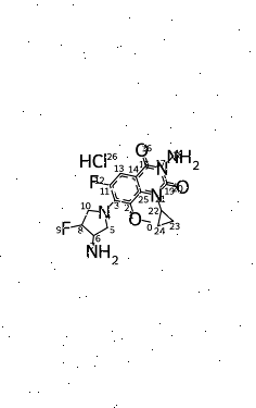 COc1c(N2CC(N)C(F)C2)c(F)cc2c(=O)n(N)c(=O)n(C3CC3)c12.Cl